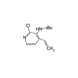 C=Cc1ccnc(Cl)c1NC(C)CC